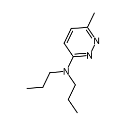 CCCN(CCC)c1ccc(C)nn1